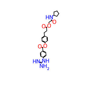 N=C(N)Nc1ccc(C(=O)Oc2ccc(CCC(=O)OCC(=O)NC3CCCC3)cc2)cc1